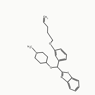 C=CCCCOc1cccc(C(OC2CCN(C)CC2)c2nc3ccccc3s2)c1